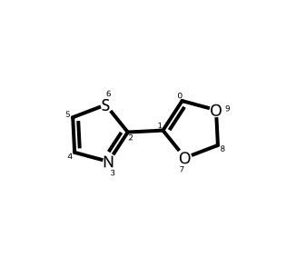 C1=C(c2nccs2)OCO1